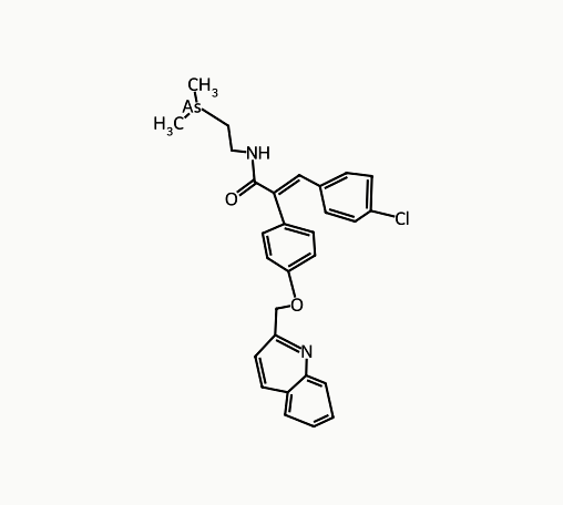 C[As](C)CCNC(=O)/C(=C/c1ccc(Cl)cc1)c1ccc(OCc2ccc3ccccc3n2)cc1